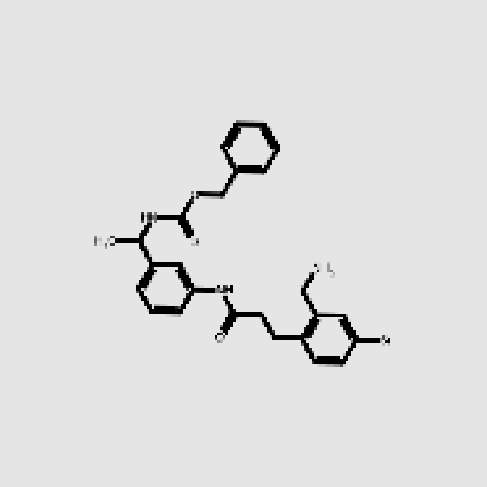 CC(NC(=O)OCc1ccccc1)c1cccc(NC(=O)CCc2ccc(Br)cc2CN)c1